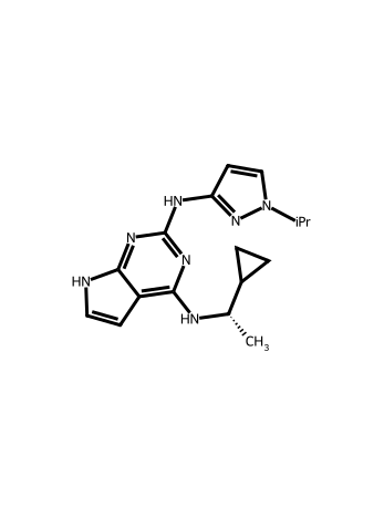 CC(C)n1ccc(Nc2nc(N[C@@H](C)C3CC3)c3cc[nH]c3n2)n1